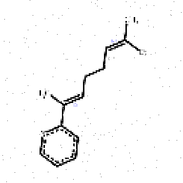 CC/C(C)=C\CC/C=C(\C)c1ccccn1